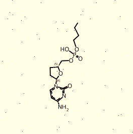 CCCCOP(=O)(O)OC[C@@H]1CC[C@H](n2ccc(N)nc2=O)O1